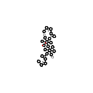 Clc1ccc(-c2c(C3=CCC(n4c5ccccc5c5cc(-c6cccc7c6sc6c(-c8ccccc8)cccc67)ccc54)C=C3)c(-c3ccccc3)c(-c3ccc(-c4c(-c5ccccc5)c(-c5ccccc5)c(-c5ccc(Cl)cc5)c(-c5ccc(-n6c7ccccc7c7cc(-c8cccc9c8sc8c(-c%10ccccc%10)cccc89)ccc76)cc5)c4-c4ccccc4)cc3)c(-c3ccccc3)c2-c2ccccc2)cc1